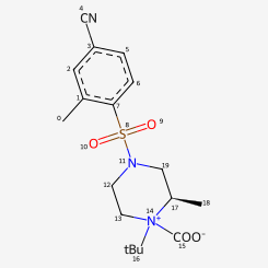 Cc1cc(C#N)ccc1S(=O)(=O)N1CC[N+](C(=O)[O-])(C(C)(C)C)[C@H](C)C1